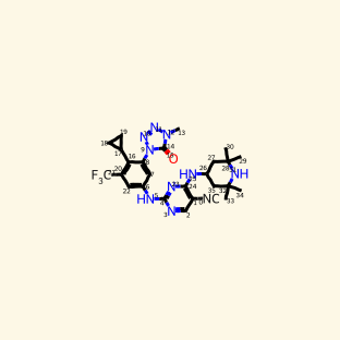 [C-]#[N+]c1cnc(Nc2cc(-n3nnn(C)c3=O)c(C3CC3)c(C(F)(F)F)c2)nc1NC1CC(C)(C)NC(C)(C)C1